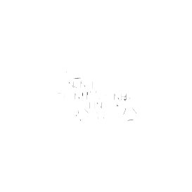 CCC(Nc1nc(C)c[nH]1)Oc1cc(C(=O)NCC(NS(=O)(=O)c2ccccc2)C(=O)O)on1